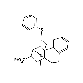 CCOC(=O)C1CC2C3Cc4ccccc4C2(CCSc2ccccc2)CC1N3C